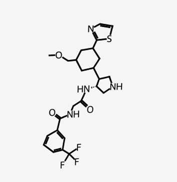 COCC1CC(c2nccs2)CC(C2CNC[C@@H]2NC(=O)CNC(=O)c2cccc(C(F)(F)F)c2)C1